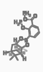 CC1(C)[C@@H]2C[C@H]3OB(c4cccc(C(=O)OP)c4OP)O[C@@]3(C)[C@H]1C2